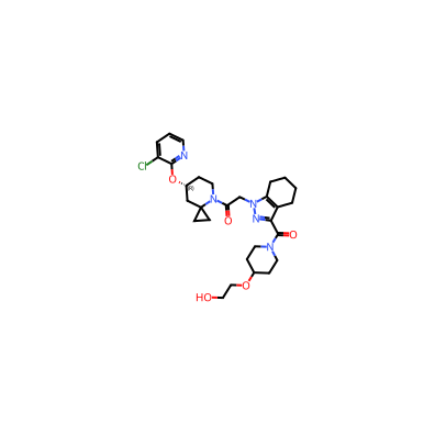 O=C(c1nn(CC(=O)N2CC[C@@H](Oc3ncccc3Cl)CC23CC3)c2c1CCCC2)N1CCC(OCCO)CC1